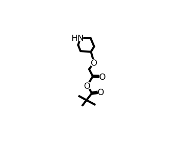 CC(C)(C)C(=O)OC(=O)COC1CCNCC1